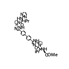 COOC#CN[C@H](C(=O)N1CCC[C@H]1c1ncc(-c2ccc(-c3ccc(-c4cnc([C@@H]5CCCN5C(=O)[C@@H](Nc5ncccn5)C(C)C)[nH]4)cc3)cc2)[nH]1)C(C)C